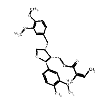 C/C=C(/C)C(=O)OC[C@H]1[C@@H](Cc2ccc(OC)c(OC)c2)CO[C@@H]1c1ccc(C)c(OC)c1